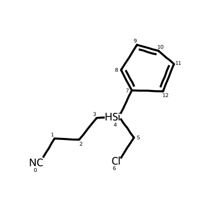 N#CCCC[SiH](CCl)c1ccccc1